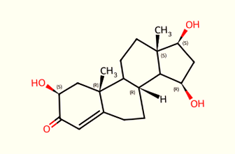 C[C@]12C[C@H](O)C(=O)C=C1CC[C@@H]1C2CC[C@@]2(C)C1[C@H](O)C[C@@H]2O